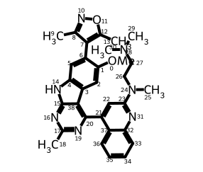 COc1cc2c(cc1-c1c(C)noc1C)[nH]c1nc(C)nc(-c3cc(N(C)CCN(C)C)nc4ccccc34)c12